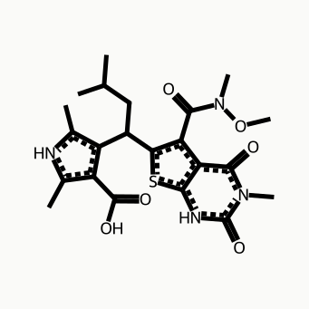 CON(C)C(=O)c1c(C(CC(C)C)c2c(C)[nH]c(C)c2C(=O)O)sc2[nH]c(=O)n(C)c(=O)c12